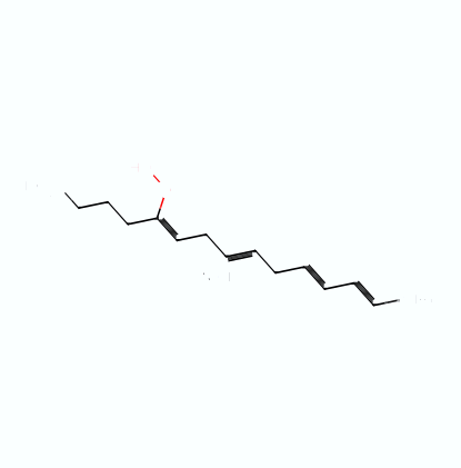 CCCCCC/C=C/C=C/C/C=C/C/C=C(/CCCC(=O)O)OO.[NaH]